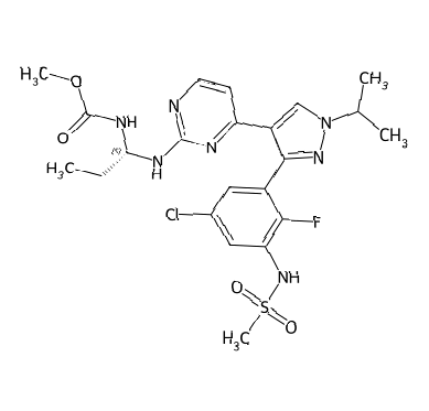 CC[C@H](NC(=O)OC)Nc1nccc(-c2cn(C(C)C)nc2-c2cc(Cl)cc(NS(C)(=O)=O)c2F)n1